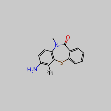 [2H]c1c(N)ccc2c1Sc1ccccc1C(=O)N2C